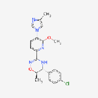 COc1nc(C2=NO[C@H](C)[C@@H](c3ccc(Cl)cc3)N2)ccc1-n1cnc(C)c1